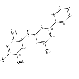 COc1cc(C)c(Nc2cc(C(F)(F)F)nc(-c3ccccn3)n2)cc1OC